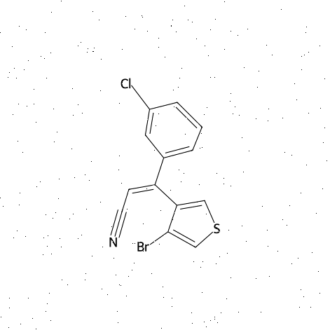 N#C/C=C(/c1cccc(Cl)c1)c1cscc1Br